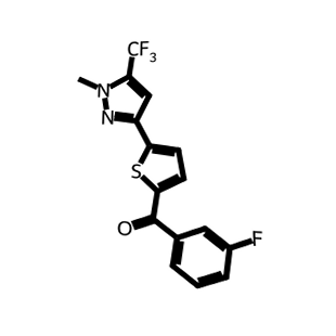 Cn1nc(-c2ccc(C(=O)c3cccc(F)c3)s2)cc1C(F)(F)F